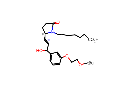 CC(C)(C)OCCOc1cccc(C(O)/C=C/[C@H]2CCC(=O)N2CCCCCCC(=O)O)c1